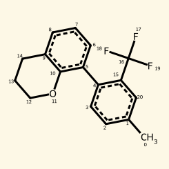 Cc1ccc(-c2cccc3c2OCCC3)c(C(F)(F)F)c1